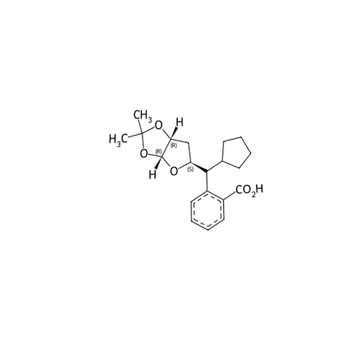 CC1(C)O[C@H]2O[C@H](C(c3ccccc3C(=O)O)C3CCCC3)C[C@H]2O1